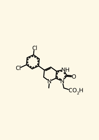 CN1CC(c2cc(Cl)cc(Cl)c2)=Cc2[nH]c(=O)n(CC(=O)O)c21